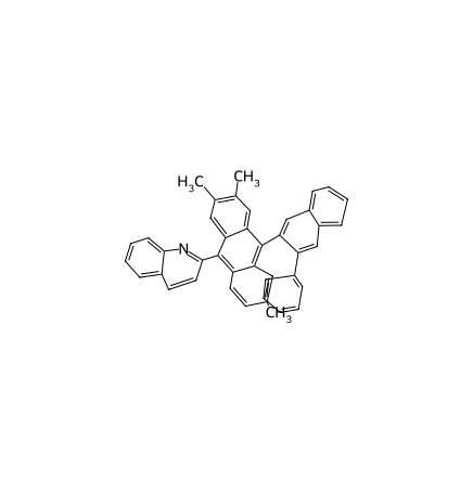 Cc1ccc2c(-c3ccc4ccccc4n3)c3cc(C)c(C)cc3c(-c3cc4ccccc4cc3-c3ccccc3)c2c1